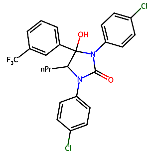 CCCC1N(c2ccc(Cl)cc2)C(=O)N(c2ccc(Cl)cc2)C1(O)c1cccc(C(F)(F)F)c1